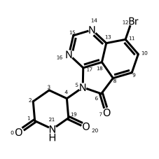 O=C1CCC(N2C(=O)c3ccc(Br)c4ncnc2c34)C(=O)N1